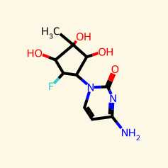 CC1(O)C(O)C(F)C(n2ccc(N)nc2=O)C1O